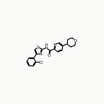 O=C(Nc1nc(-c2ccccc2Cl)cs1)c1ccc(C2CCOCC2)cn1